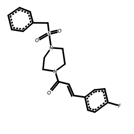 O=C(/C=C/c1ccc(F)cc1)N1CCN(S(=O)(=O)Cc2ccccc2)CC1